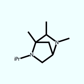 CC(C)N1CC2CC1(C)C(C)N2C